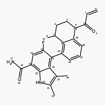 C=CC(=O)N1CCC(C)c2c(-c3c(F)cc(C(N)=O)c4[nH]c(C)c(C)c34)cccc21